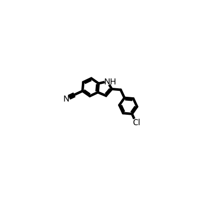 N#Cc1ccc2[nH]c(Cc3ccc(Cl)cc3)cc2c1